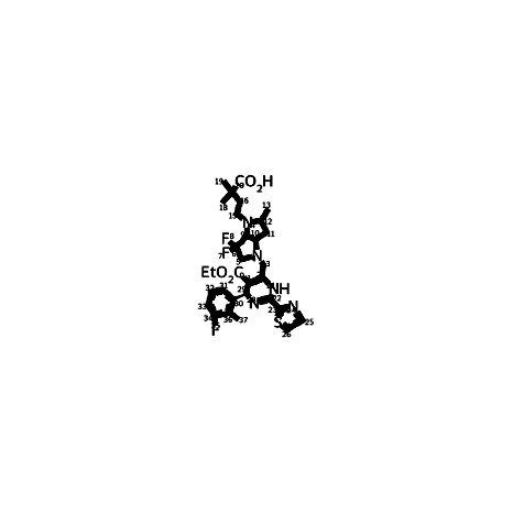 CCOC(=O)C1=C(CN2CC(F)(F)C3C2CC(C)N3CCC(C)(C)C(=O)O)NC(c2nccs2)=N[C@H]1c1cccc(F)c1C